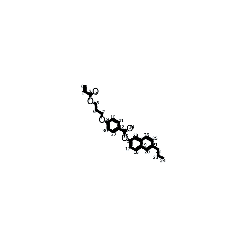 C=CC(=O)OCCCOc1ccc(C(=O)Oc2ccc3cc(CCC)ccc3c2)cc1